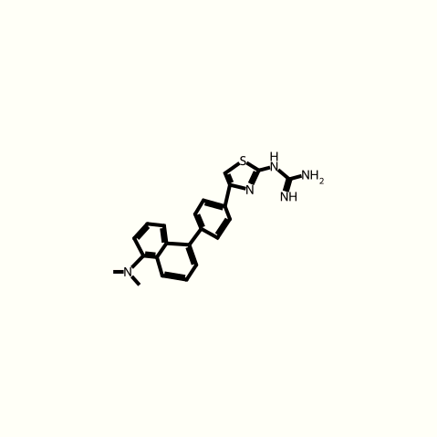 CN(C)c1cccc2c(-c3ccc(-c4csc(NC(=N)N)n4)cc3)cccc12